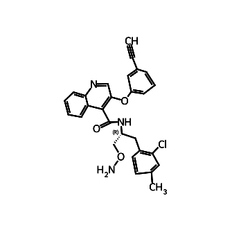 C#Cc1cccc(Oc2cnc3ccccc3c2C(=O)N[C@@H](CON)Cc2ccc(C)cc2Cl)c1